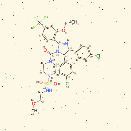 CCOc1cc(C(F)(F)F)ccc1C1=NC(c2ccc(Cl)cc2)C(c2ccc(Cl)cc2)N1C(=O)N1CCN(S(=O)(=O)NCCOC)CC1